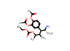 CCC(=O)Oc1ccc(C(C(C)C(C)OC(=O)OCC(C)CC)[C@H](N)C(=O)O)cc1OC(=O)CC